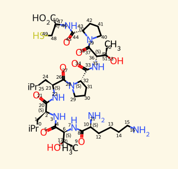 CC(C)C[C@H](NC(=O)[C@@H](NC(=O)[C@@H](N)CCCCN)[C@@H](C)O)C(=O)N[C@@H](CC(C)C)C(=O)N1CCC[C@H]1C(=O)N[C@H](C(=O)N1CCC[C@H]1C(=O)N[C@@H](CS)C(=O)O)[C@@H](C)O